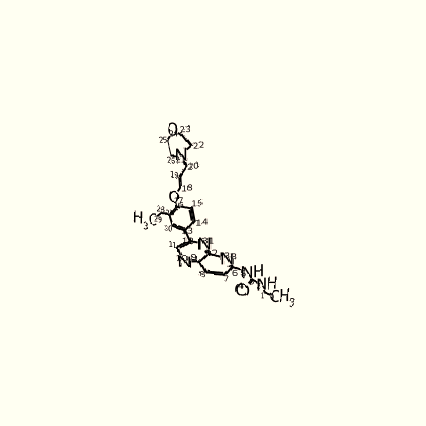 CCNC(=O)Nc1ccc2ncc(-c3ccc(OCCCN4CCOCC4)c(CC)c3)nc2n1